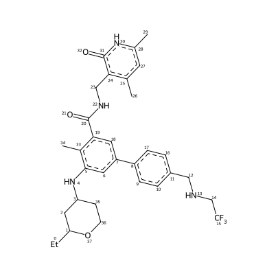 CCC1CC(Nc2cc(-c3ccc(CNCC(F)(F)F)cc3)cc(C(=O)NCc3c(C)cc(C)[nH]c3=O)c2C)CCO1